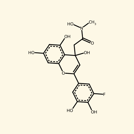 CN(O)C(=O)CC1(O)C=C(c2cc(O)c(O)c(F)c2)Oc2cc(O)cc(O)c21